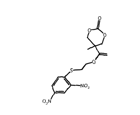 C=C(OCCSc1ccc([N+](=O)[O-])cc1[N+](=O)[O-])C1(C)COC(=O)OC1